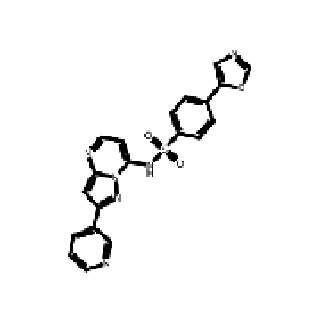 O=S(=O)(Nc1ccnc2cc(-c3cccnc3)nn12)c1ccc(-c2cnco2)cc1